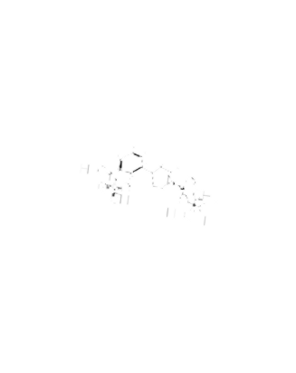 CN(c1cccc(C2CCN(C(=O)OC(C)(C)C)CC2)c1)S(C)(=O)=O